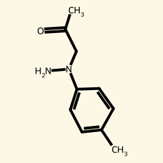 CC(=O)CN(N)c1ccc(C)cc1